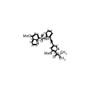 CNc1cc(C#Cc2ccccc2NS(=O)(=O)c2ccc(OC)c3cccnc23)cnc1C(=O)N(C)C